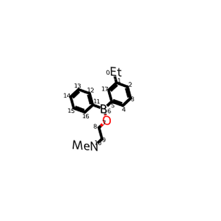 CCc1cccc(B(OCCNC)c2ccccc2)c1